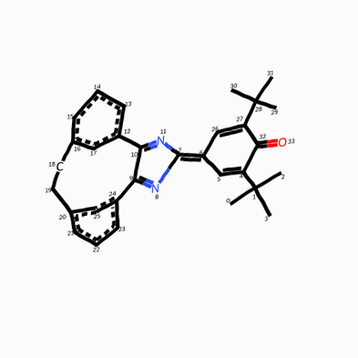 CC(C)(C)C1=CC(=C2N=C3C(=N2)c2cccc(c2)CCc2cccc3c2)C=C(C(C)(C)C)C1=O